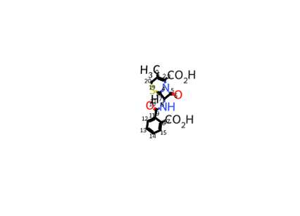 CC1=C(C(=O)O)N2C(=O)C(NC(=O)c3ccccc3C(=O)O)[C@@H]2SC1